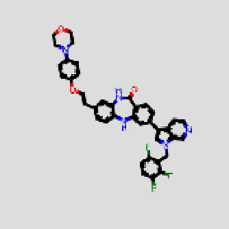 O=C1Nc2cc(CCOc3ccc(N4CCOCC4)cc3)ccc2Nc2cc(-c3cn(Cc4c(F)ccc(F)c4F)c4cnccc34)ccc21